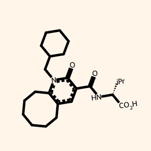 CC(C)[C@@H](NC(=O)c1cc2c(n(CC3CCCCC3)c1=O)CCCCCC2)C(=O)O